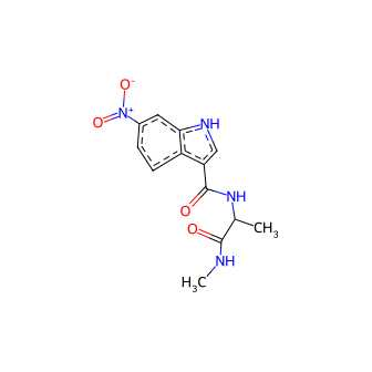 CNC(=O)C(C)NC(=O)c1c[nH]c2cc([N+](=O)[O-])ccc12